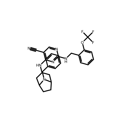 N#Cc1cnc(NCc2ccccc2OC(F)(F)F)nc1NC1CC2CCC(C1)N2Cc1ccccc1